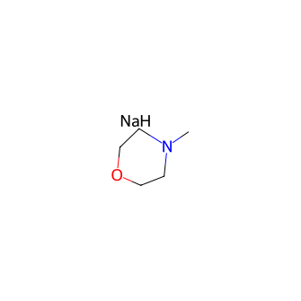 CN1CCOCC1.[NaH]